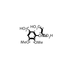 COc1cc(C(=O)O)cc(OC)c1OC.O=C(O)C=CC(=O)O